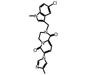 Cc1cn(-c2ccc3n(c2=O)CCN(Cc2cn(C)c4ccc(Cl)cc24)C3=O)cn1